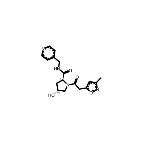 Cc1cc(CC(=O)N2C[C@H](O)C[C@H]2C(=O)NCc2ccncc2)on1